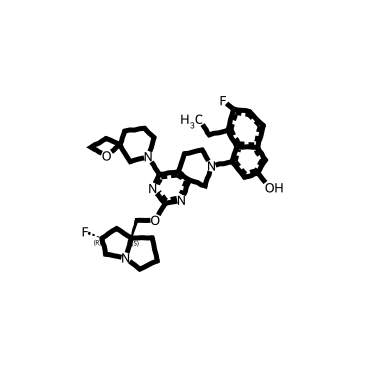 CCc1c(F)ccc2cc(O)cc(N3CCc4c(nc(OC[C@@]56CCCN5C[C@H](F)C6)nc4N4CCCC5(CCO5)C4)C3)c12